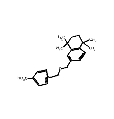 CC1(C)CCC(C)(C)c2cc(CO[C]c3ccc(C(=O)O)cc3)ccc21